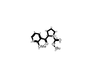 COc1ncccc1C(=O)C1CCCN1C(=O)OC(C)(C)C